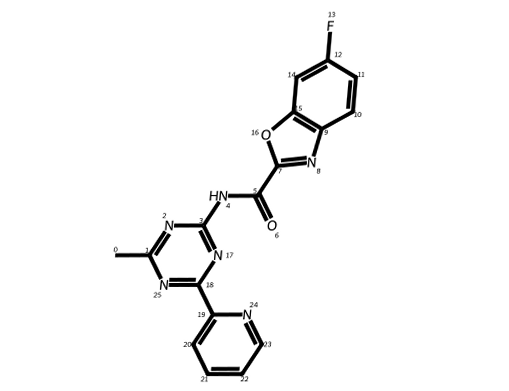 Cc1nc(NC(=O)c2nc3ccc(F)cc3o2)nc(-c2ccccn2)n1